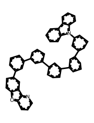 c1cc(-c2cccc(-c3cccc(-c4ccc5oc6cccnc6c5c4)c3)c2)cc(-c2cccc(-c3cccc(-n4c5ccccc5c5ccccc54)c3)c2)c1